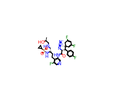 C[C@H](O)CNC[C@H](CCc1c(F)cncc1NC(=O)C(N=[N+]=[N-])[C@@H](c1ccc(F)cc1)[C@]1(C)C=C(F)C=C(F)C1)NS(=O)(=O)C1CC1